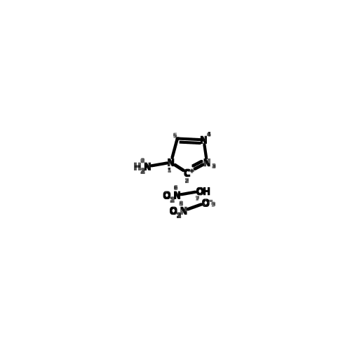 NN1[C+]=NN=C1.O=[N+]([O-])O.O=[N+]([O-])[O-]